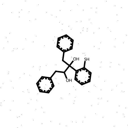 OC(Cc1ccccc1)C(O)(Cc1ccccc1)c1ccccc1S